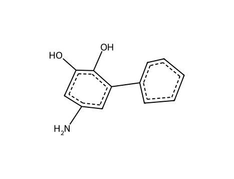 Nc1cc(O)c(O)c(-c2ccccc2)c1